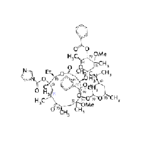 CC[C@H]1OC(=O)[C@H](C)[C@@H](O[C@H]2C[C@@](C)(OC)[C@@H](OC(=O)c3ccccc3)[C@H](C)O2)[C@H](C)[C@@H](O[C@@H]2O[C@H](C)C[C@H](N(C)C)[C@H]2OC(=O)c2ccccc2)[C@@](C)(OC)C[C@@H](C)C(=O)/C(C)=C/[C@]1(C)OC(=O)n1ccnc1